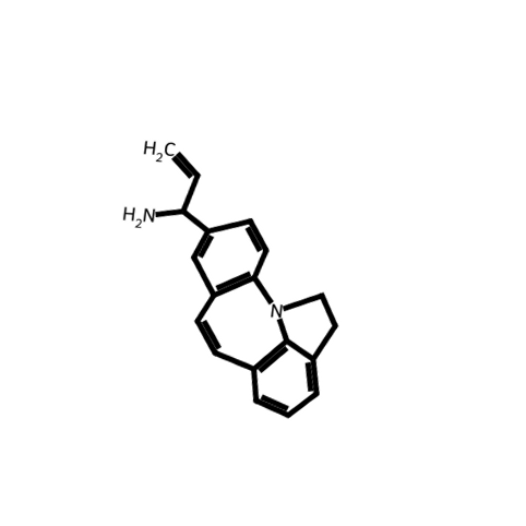 C=CC(N)c1ccc2c(c1)C=Cc1cccc3c1N2CC3